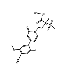 COc1cc(-c2ccn(CC[C@](C)(C(=O)NO)S(C)(=O)=O)c(=O)c2)c(F)cc1C#N